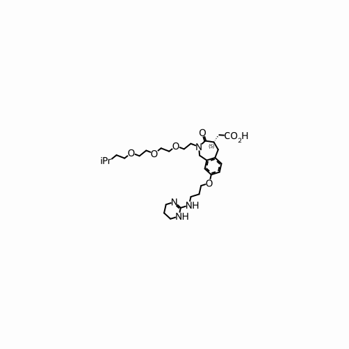 CC(C)CCOCCOCCOCCN1Cc2cc(OCCCNC3=NCCCN3)ccc2C[C@@H](CC(=O)O)C1=O